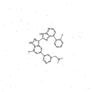 CN(C)Cc1cncc(-c2cc(F)c3[nH]nc(-c4nc5c(-c6ccccc6F)ccnc5[nH]4)c3c2)c1